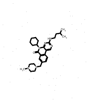 CC(C)CCNc1ncc2c3ccc(CN4CCN(C)CC4)cc3c(=O)n(C3CCCCC3)c2n1